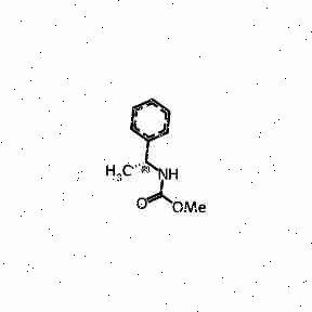 COC(=O)N[C@H](C)c1ccccc1